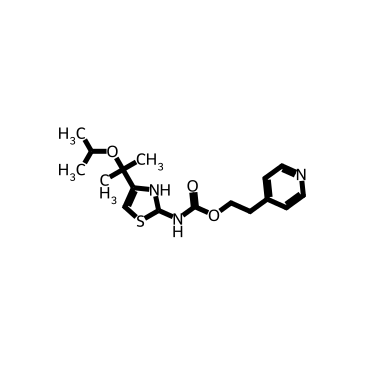 CC(C)OC(C)(C)C1=CSC(NC(=O)OCCc2ccncc2)N1